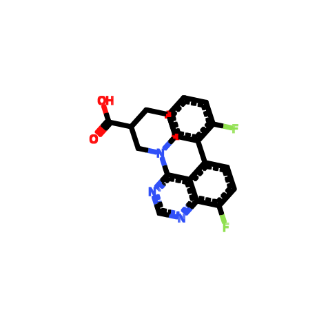 O=C(O)C1CCCN(c2ncnc3c(F)ccc(-c4ccccc4F)c23)C1